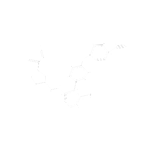 C=CC(=O)N1CCC(COc2ncnc(N)c2-c2ccc(Oc3ccc(C#N)cc3)cc2)C1